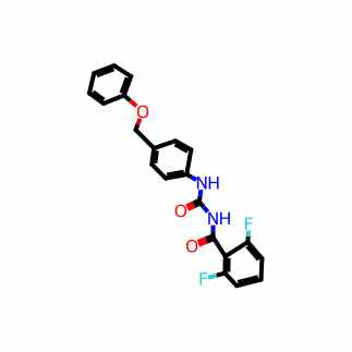 O=C(NC(=O)c1c(F)cccc1F)Nc1ccc(COc2ccccc2)cc1